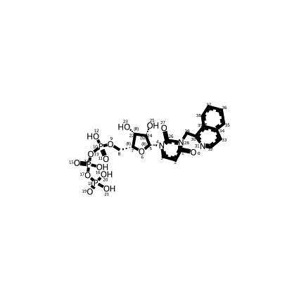 O=c1ccn([C@@H]2O[C@H](COP(=O)(O)OP(=O)(O)OP(=O)(O)O)[C@H](O)[C@@H]2O)c(=O)n1Cc1nccc2ccccc12